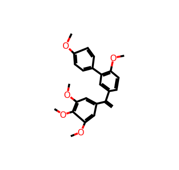 C=C(c1cc(OC)c(OC)c(OC)c1)c1ccc(OC)c(-c2ccc(OC)cc2)c1